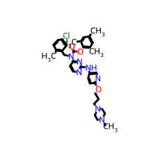 Cc1cc(C)c(OC(=O)N(Cc2cc(Cl)ccc2C)c2ccnc(Nc3ccc(OCCCN4CCN(C)CC4)nc3)n2)c(C)c1